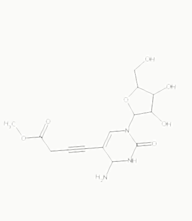 COC(=O)CC#CC1=CN(C2OC(CO)C(O)C2O)C(=O)NC1N